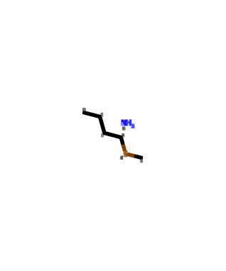 CCCCSC.N